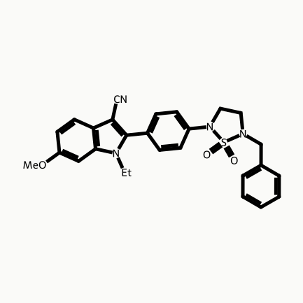 CCn1c(-c2ccc(N3CCN(Cc4ccccc4)S3(=O)=O)cc2)c(C#N)c2ccc(OC)cc21